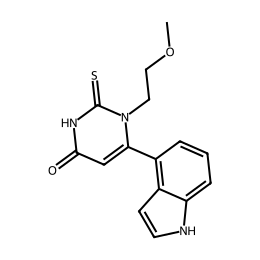 COCCn1c(-c2cccc3[nH]ccc23)cc(=O)[nH]c1=S